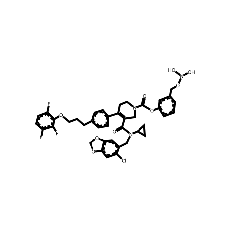 O=C(Oc1cccc(CON(O)O)c1)N1CCC(c2ccc(CCCOc3c(F)ccc(F)c3F)cc2)=C(C(=O)N(Cc2cc3c(cc2Cl)OCO3)C2CC2)C1